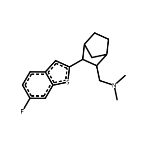 CN(C)CC1C2CCC(C2)C1c1cc2ccc(F)cc2s1